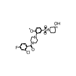 COc1ccc(S(=O)(=O)N2CCC[C@@H](O)C2)cc1N1CCN(C(=O)c2ccc(F)cc2Cl)CC1